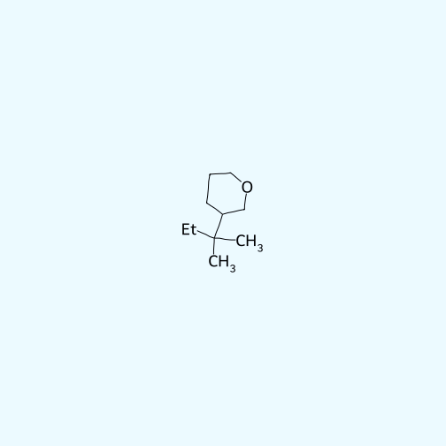 CCC(C)(C)C1CCCOC1